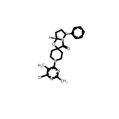 Cc1nc(Cl)c(C)c(N2CCC3(CC2)O[C@@H]2CC[C@@H](c4ccccc4)N2C3=O)n1